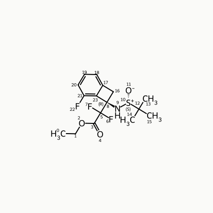 CCOC(=O)C(F)(F)[C@@]1(N[S@+]([O-])C(C)(C)C)Cc2cccc(F)c21